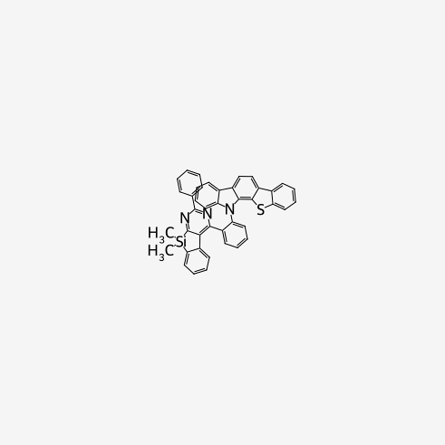 C[Si]1(C)c2ccccc2-c2c(-c3ccccc3-n3c4ccccc4c4ccc5c6ccccc6sc5c43)nc(-c3ccccc3)nc21